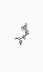 CC1(C)CCC(CN2CCN(Cc3cc(F)c4c(c3)CN(C3CCC(=O)NC3=O)C4=O)C2=O)=C(c2ccc(F)cc2)C1